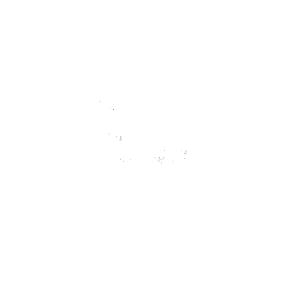 NC([O-])=S.NC([O-])=S.NC([O-])=S.NC([O-])=S.NC([O-])=S.[V+5]